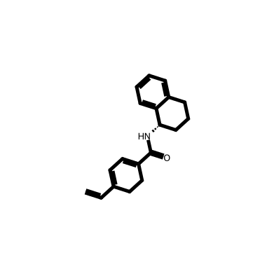 C=CC1=CC=C(C(=O)N[C@H]2CCCc3ccccc32)CC1